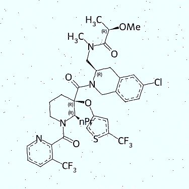 CCC[C@H]1N(C(=O)c2ncccc2C(F)(F)F)CCC[C@]1(Oc1csc(C(F)(F)F)c1)C(=O)N1Cc2ccc(Cl)cc2C[C@@H]1CN(C)C(=O)[C@@H](C)OC